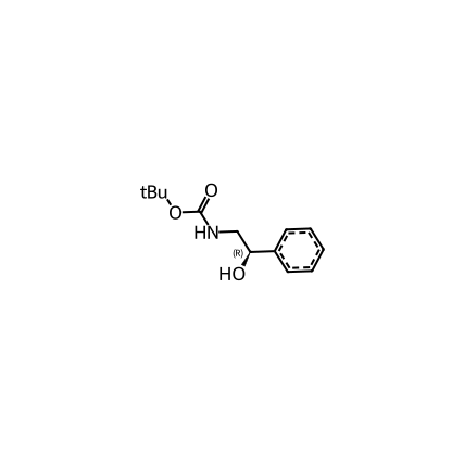 CC(C)(C)OC(=O)NC[C@H](O)c1ccccc1